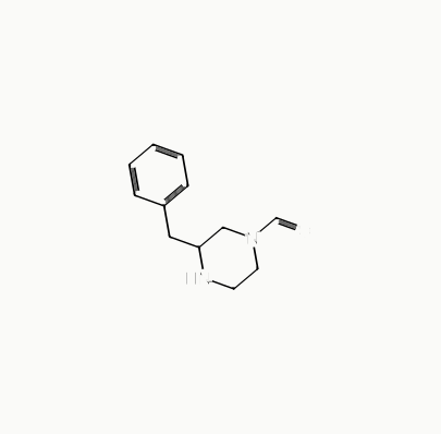 O=CN1CCNC(Cc2ccccc2)C1